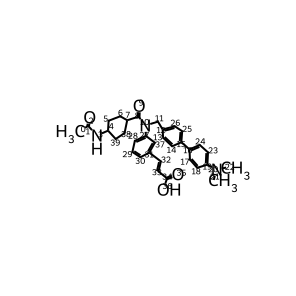 CC(=O)NC1CCC(C(=O)N(Cc2ccc(-c3ccc(N(C)C)cc3)cc2)c2cccc(C=CC(=O)O)c2)CC1